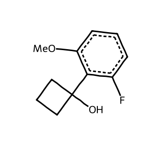 COc1cccc(F)c1C1(O)CCC1